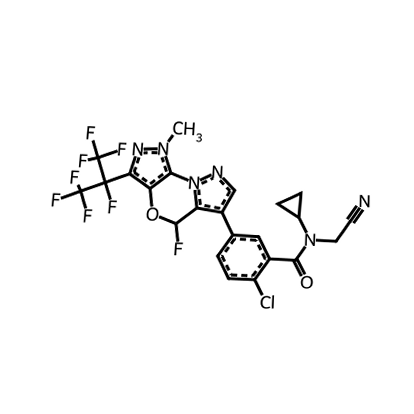 Cn1nc(C(F)(C(F)(F)F)C(F)(F)F)c2c1-n1ncc(-c3ccc(Cl)c(C(=O)N(CC#N)C4CC4)c3)c1C(F)O2